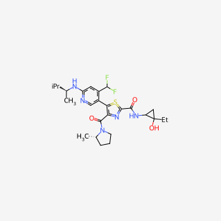 CCC1(O)CC1NC(=O)c1nc(C(=O)N2CCC[C@@H]2C)c(-c2cnc(N[C@@H](C)C(C)C)cc2C(F)F)s1